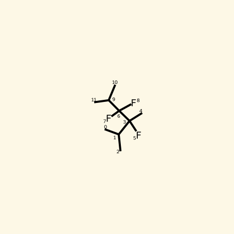 CC(C)C(C)(F)C(F)(F)C(C)C